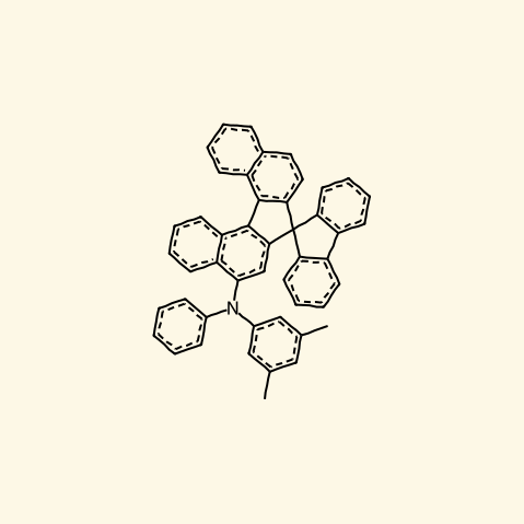 Cc1cc(C)cc(N(c2ccccc2)c2cc3c(c4ccccc24)-c2c(ccc4ccccc24)C32c3ccccc3-c3ccccc32)c1